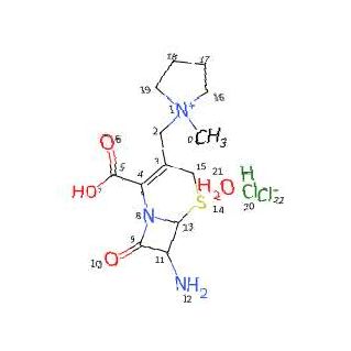 C[N+]1(CC2=C(C(=O)O)N3C(=O)C(N)C3SC2)CCCC1.Cl.O.[Cl-]